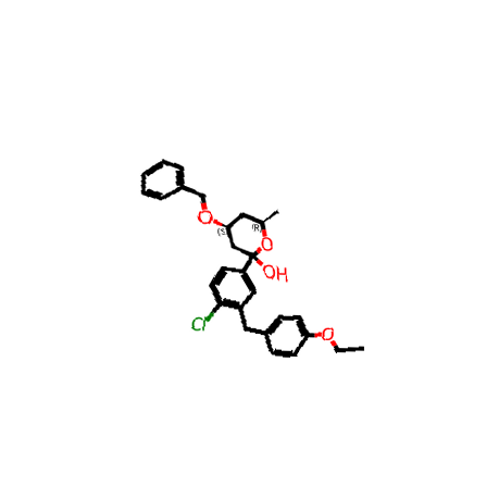 CCOc1ccc(Cc2cc(C3(O)C[C@@H](OCc4ccccc4)C[C@@H](C)O3)ccc2Cl)cc1